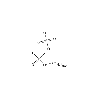 CC(C)OP(C)(=O)F.O=S(=O)([O-])[O-].[Na+].[Na+]